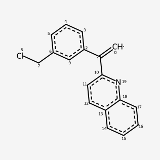 [CH]=C(c1cccc(CCl)c1)c1ccc2ccccc2n1